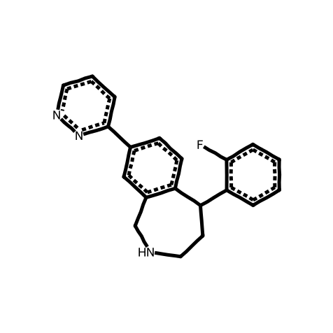 Fc1ccccc1C1CCNCc2cc(-c3cccnn3)ccc21